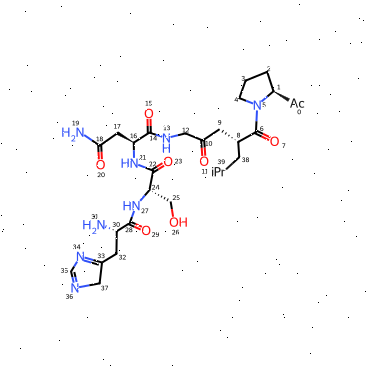 CC(=O)[C@@H]1CCCN1C(=O)[C@@H](CC(=O)CNC(=O)[C@H](CC(N)=O)NC(=O)[C@H](CO)NC(=O)[C@@H](N)CC1=NC=NC1)CC(C)C